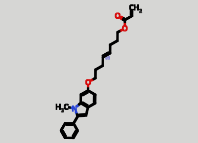 C=CC(=O)OCCC/C=C/CCCOc1ccc2cc(-c3ccccc3)n(C)c2c1